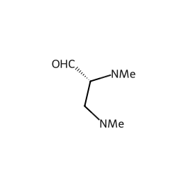 CNC[C@H](C=O)NC